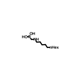 CCCCCCCCCCCNCB(O)O